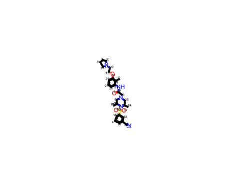 Cc1c(NC(=O)CN2CC(C)N(S(=O)(=O)c3cccc(C#N)c3)C(C)C2)cccc1OCCN1CCCC1